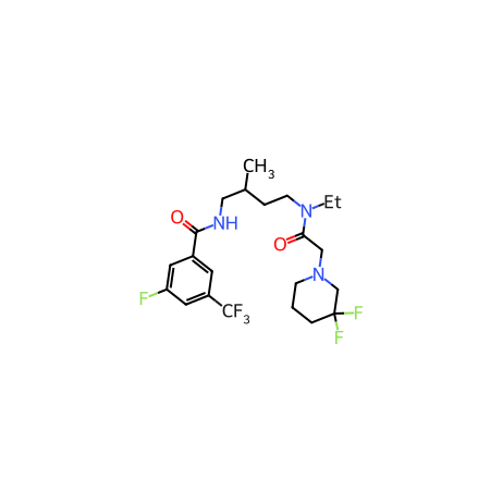 CCN(CCC(C)CNC(=O)c1cc(F)cc(C(F)(F)F)c1)C(=O)CN1CCCC(F)(F)C1